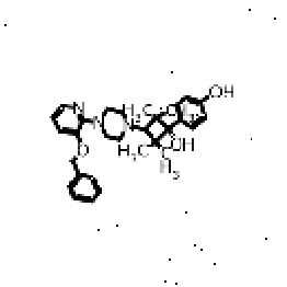 CC1(C)C(N2CCN(c3ncccc3OCc3ccccc3)CC2)C(C)(C)C1(O)c1ccc(O)cc1